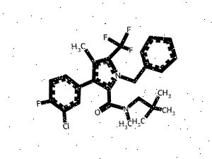 Cc1c(-c2ccc(F)c(Cl)c2)c(C(=O)N(C)CC(C)(C)C)n(Cc2ccccc2)c1C(F)(F)F